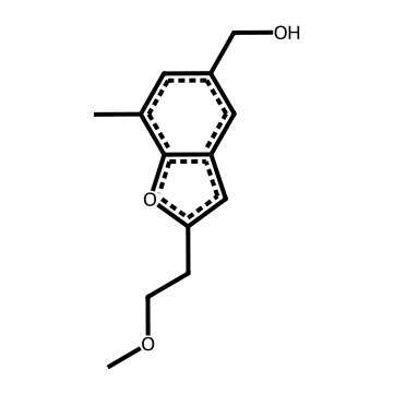 COCCc1cc2cc(CO)cc(C)c2o1